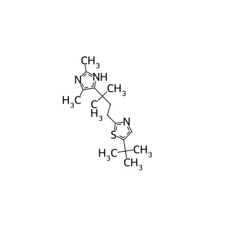 Cc1nc(C)c(C(C)(C)CCc2ncc(C(C)(C)C)s2)[nH]1